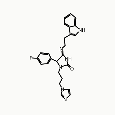 O=C1NC(=NCCc2c[nH]c3ccccc23)C(c2ccc(F)cc2)N1CCCn1ccnc1